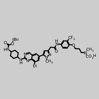 CCc1cc(-c2cc(CC(=O)Nc3ccc(OCCCN(C)C(=O)O)c(C(F)(F)F)c3)nn2C)cc2cnc(NC3CCC(NC(=O)OC(C)(C)C)CC3)nc12